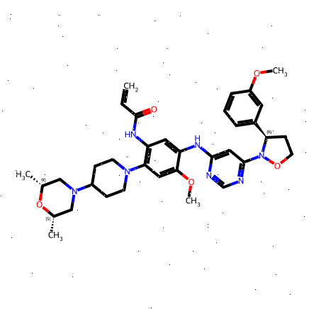 C=CC(=O)Nc1cc(Nc2cc(N3OCC[C@@H]3c3cccc(OC)c3)ncn2)c(OC)cc1N1CCC(N2C[C@@H](C)O[C@@H](C)C2)CC1